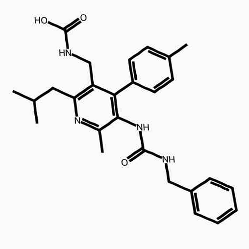 Cc1ccc(-c2c(CNC(=O)O)c(CC(C)C)nc(C)c2NC(=O)NCc2ccccc2)cc1